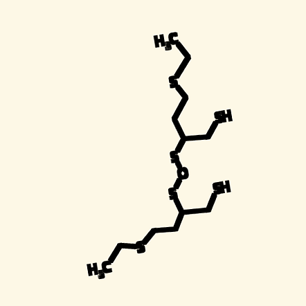 CCSCCC(CS)SOSC(CS)CCSCC